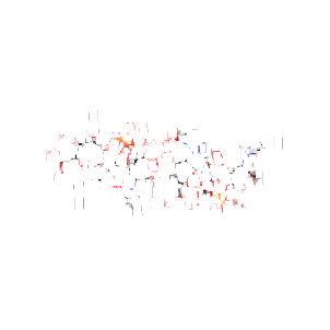 CCCC(C)(OC1C(NC(C)=O)[C@H](O[C@@H]2C(C(=O)O)O[C@@H](C(C)(CC)OC3C4N=C(C)O[C@H]4OC(CO)[C@@H]3OS(=O)(=O)O)C(NC(C)=O)C2O)OC(CO)[C@@H]1OS(=O)(=O)O)[C@@H]1OC(C(=O)O)[C@@H](O)C(O)C1O